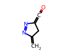 C=C1CC(=C=O)N=N1